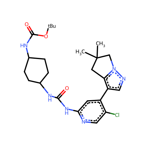 CC1(C)Cc2c(-c3cc(NC(=O)NC4CCC(NC(=O)OC(C)(C)C)CC4)ncc3Cl)cnn2C1